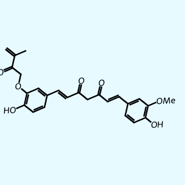 C=C(C)C(=O)COc1cc(C=CC(=O)CC(=O)C=Cc2ccc(O)c(OC)c2)ccc1O